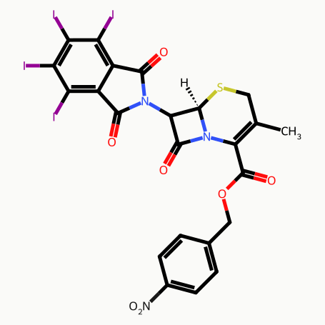 CC1=C(C(=O)OCc2ccc([N+](=O)[O-])cc2)N2C(=O)C(N3C(=O)c4c(I)c(I)c(I)c(I)c4C3=O)[C@H]2SC1